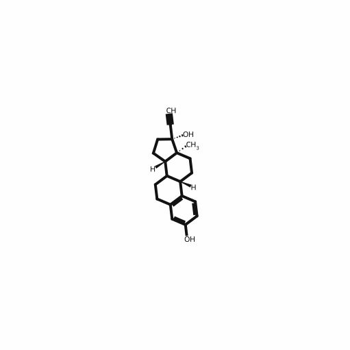 C#C[C@]1(O)CC[C@H]2C3CCc4cc(O)ccc4[C@H]3CC[C@@]21C